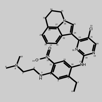 CCc1cc(NCCN(C)C)c([N+](=O)[O-])cc1Nc1ncc(Cl)c(-c2cn3c4c(cccc24)CCC3)n1